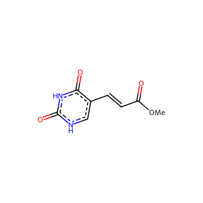 COC(=O)C=Cc1c[nH]c(=O)[nH]c1=O